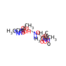 CC[C@H]1O[C@@H](n2ccc(/N=C\N(C)C)nc2=O)[C@@H](O)C1OCCCCCCNC(=O)CCCCO[C@@H]1O[C@H](CC)[C@H](C)[C@H](OC(=O)c2ccccc2)[C@H]1NC(C)=O